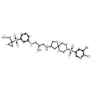 O=S(=O)(c1cnc(Cl)c(Br)c1)N1CCC2(CC1)CC(NCC(O)COc1cccc(S(=O)(=O)C3(CO)CC3)c1)CO2